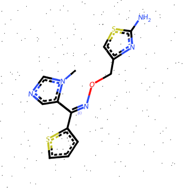 Cn1cncc1/C(=N\OCc1csc(N)n1)c1cccs1